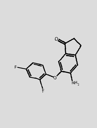 Nc1cc2c(cc1Oc1ccc(F)cc1F)C(=O)CC2